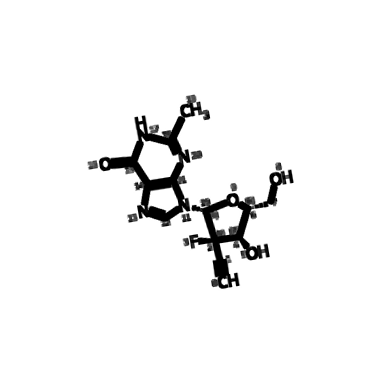 C#C[C@@]1(F)[C@H](O)[C@@H](CO)O[C@H]1n1cnc2c(=O)[nH]c(C)nc21